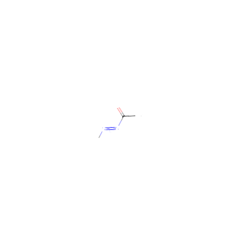 CC(C)(C)C(=O)/N=N/C(=O)O